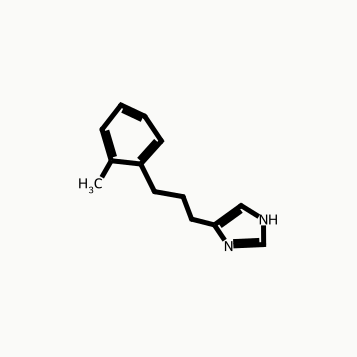 Cc1ccccc1CCCc1c[nH]cn1